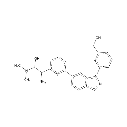 CN(C)C(O)C(N)c1cccc(-c2ccc3cnn(-c4cccc(CO)n4)c3c2)n1